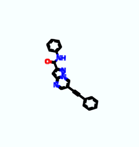 O=C(Nc1ccccc1)c1cc2ncc(C#Cc3ccccc3)cn2n1